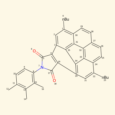 CCCCc1cc2c3c(=O)n(-c4ccc(C)c(C)c4C)c(=O)c3c3cc(CCCC)c4ccc5ccc1c1c5c4c3c21